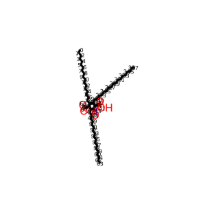 CCCCCCCCCCCCCCCCCCc1c(CCCCCCCCCCCCCCCCCC)c(C(=O)O)c(I=O)c(CCCCCCCCCCCCCCCCCC)c1C(=O)O